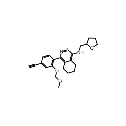 C#Cc1ccc(-c2nnc(NCC3CCCO3)c3c2CCCC3)c(OCOC)c1